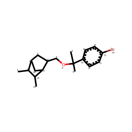 CC1C2CC(COC(C)(C)c3ccc(Br)cc3)C(C2)C1C